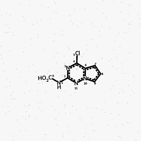 O=C(O)Nc1nc(Cl)c2cccn2n1